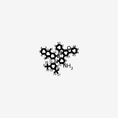 Cc1c2ccccc2c(C)c2cc3c(cc12)B1c2c(cc(N)cc2N3c2cc(C(C)(C)C)cc(C(C)(C)C)c2)-c2cc3c4ccccc4oc3c3c4ccccc4n1c23